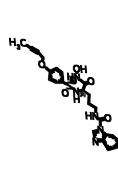 CC#CCOc1ccc(S(=O)(=O)N[C@H](CCCNC(=O)n2cnc3ccccc32)C(=O)NO)cc1